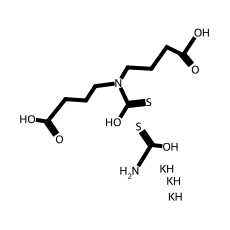 NC(O)=S.O=C(O)CCCN(CCCC(=O)O)C(O)=S.[KH].[KH].[KH]